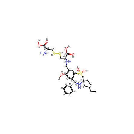 CCCC[C@]1(CC)CS(=O)(=O)c2cc(CN[C@@H](CSSC[C@H](N)C(=O)OC)C(=O)OC)c(OC)cc2[C@@H](c2ccccc2)N1